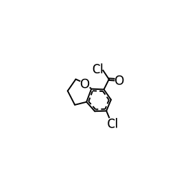 O=C(Cl)c1cc(Cl)cc2c1OCCC2